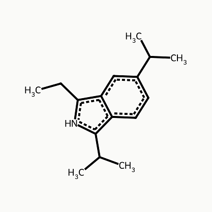 CCc1[nH]c(C(C)C)c2ccc(C(C)C)cc12